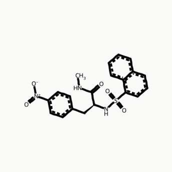 CNC(=O)[C@H](Cc1ccc([N+](=O)[O-])cc1)NS(=O)(=O)c1cccc2ccccc12